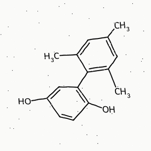 Cc1cc(C)c(-c2cc(O)ccc2O)c(C)c1